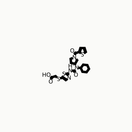 O=C(O)CSc1cnc(NC(=O)N(C2CCCCC2)[C@@H]2CCN(C(=O)c3cccs3)C2)s1